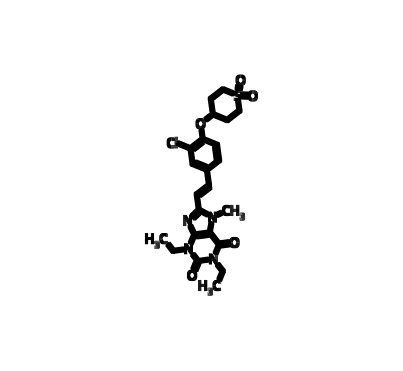 CCn1c(=O)c2c(nc(/C=C/c3ccc(OC4CCS(=O)(=O)CC4)c(Cl)c3)n2C)n(CC)c1=O